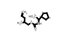 C=CCC(C)COC(=O)NC(C(=O)O)C1CCCC1